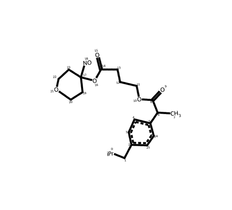 CC(C)Cc1ccc(C(C)C(=O)OCCCC(=O)OC2(N=O)CCOCC2)cc1